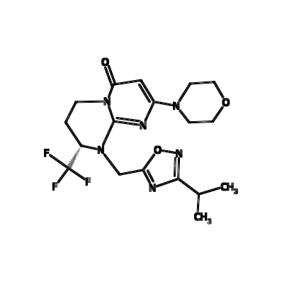 CC(C)c1noc(CN2c3nc(N4CCOCC4)cc(=O)n3CC[C@H]2C(F)(F)F)n1